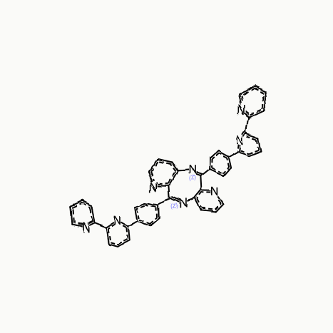 c1ccc(-c2cccc(-c3ccc(/C4=N/c5cccnc5/C(c5ccc(-c6cccc(-c7ccccn7)n6)cc5)=N\c5cccnc54)cc3)n2)nc1